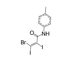 Cc1ccc(NC(=O)/C(I)=C(\Br)I)cc1